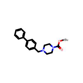 CC(C)(C)OC(=O)N1CCN(Cc2ccc(-c3ccccc3)cc2)CC1